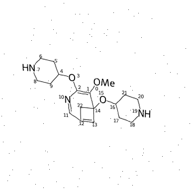 COC1=C(OC2CCNCC2)N=CC2=CC1(OC1CCNCC1)C2